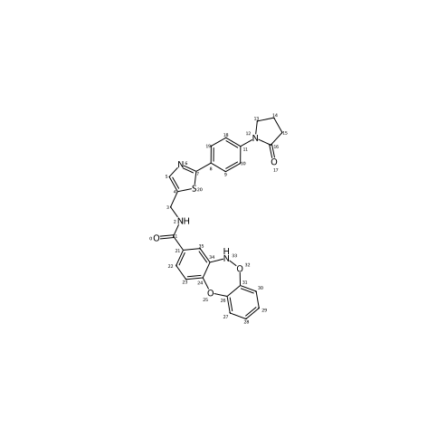 O=C(NCc1cnc(-c2ccc(N3CCCC3=O)cc2)s1)c1ccc2oc3ccccc3o[nH]c2c1